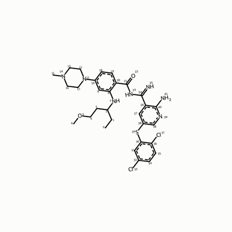 CCC(CCOC)Nc1cc(N2CCN(C)CC2)ccc1C(=O)NC(=N)c1cc(Sc2cc(Cl)ccc2Cl)cnc1N